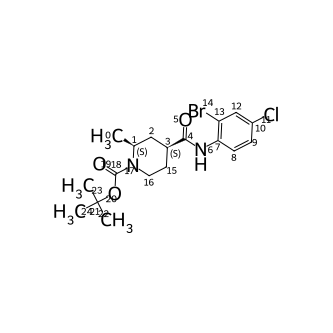 C[C@H]1C[C@@H](C(=O)Nc2ccc(Cl)cc2Br)CCN1C(=O)OC(C)(C)C